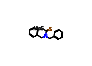 CSC(=S)N(Cc1ccccc1)Cc1ccccc1